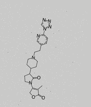 CC1=C(N2CCC(C3CCN(CCc4ccc(-n5cnnn5)nc4)CC3)C2=O)COC1=O